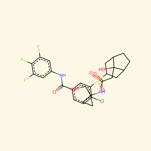 O=C(CC1(O)C2CCC1CC(S(=O)(=O)c1cc(C(=O)Nc3cc(F)c(F)c(F)c3)ccc1Cl)C2)NC1(CO)CC1